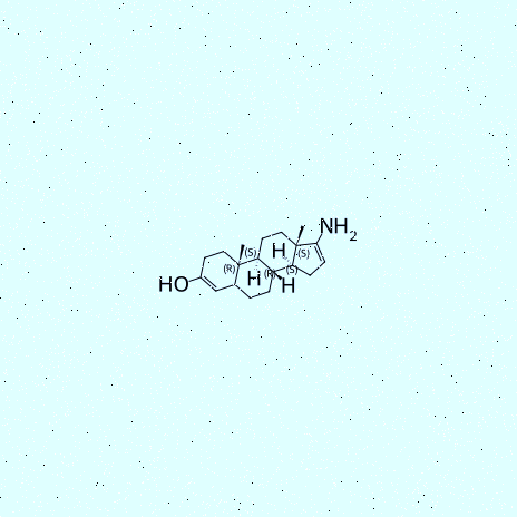 C[C@]12CCC(O)=CC1CC[C@@H]1[C@@H]2CC[C@]2(C)C(N)=CC[C@@H]12